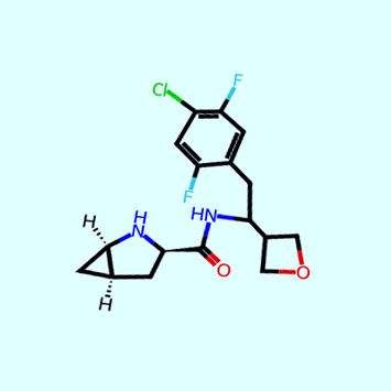 O=C(NC(Cc1cc(F)c(Cl)cc1F)C1COC1)[C@H]1C[C@H]2C[C@H]2N1